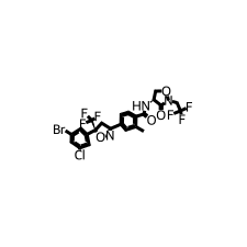 Cc1cc(C2=NO[C@@](c3cc(Cl)cc(Br)c3)(C(F)(F)F)C2)ccc1C(=O)N[C@@H]1CON(CC(F)(F)F)C1=O